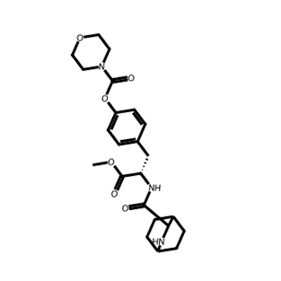 COC(=O)[C@H](Cc1ccc(OC(=O)N2CCOCC2)cc1)NC(=O)C1NC2CCC1CC2